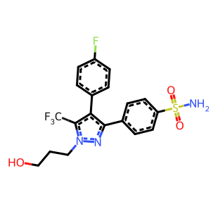 NS(=O)(=O)c1ccc(-c2nn(CCCO)c(C(F)(F)F)c2-c2ccc(F)cc2)cc1